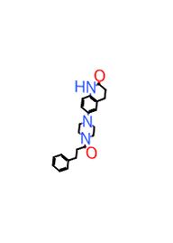 O=C1CCc2cc(N3CCN(C(=O)CCc4ccccc4)CC3)ccc2N1